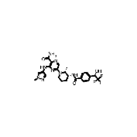 C[C@@H]1[C@H](NC(=O)c2ccc([C@@H](O)C(F)(F)F)cc2)CCCN1c1cnc(C(N)=O)c(Nc2cnn(C)c2)n1